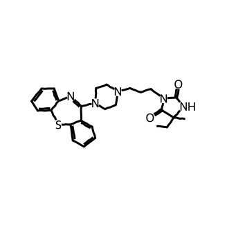 CCC1(C)NC(=O)N(CCCN2CCN(C3=Nc4ccccc4Sc4ccccc43)CC2)C1=O